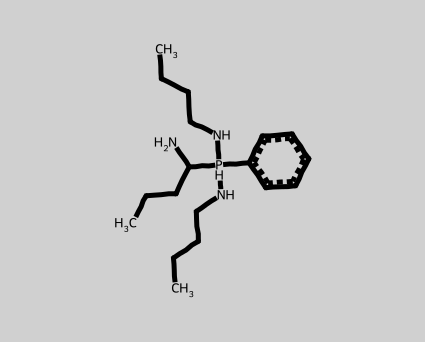 CCCCN[PH](NCCCC)(c1ccccc1)C(N)CCC